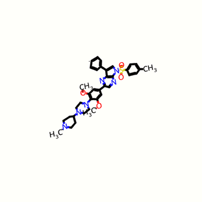 COc1cc(-c2cnc3c(n2)c(-c2cc[c]cc2)cn3S(=O)(=O)c2ccc(C)cc2)cc(OC)c1N1CCN(C2CCN(C)CC2)CC1